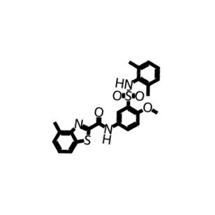 COc1ccc(NC(=O)c2nc3c(C)cccc3s2)cc1S(=O)(=O)Nc1c(C)cccc1C